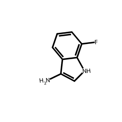 Nc1c[nH]c2c(F)cccc12